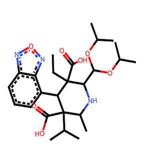 CCC1(C(=O)O)C(C(OC(C)C)OC(C)C)NC(C)C(C(=O)O)(C(C)C)C1c1cccc2nonc12